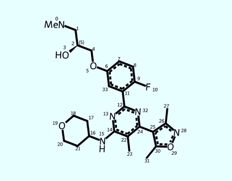 CNC[C@H](O)COc1ccc(F)c(-c2nc(NC3CCOCC3)c(C)c(-c3c(C)noc3C)n2)c1